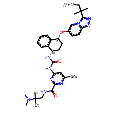 CCC(CC)(CNC(=O)c1nc(NC(=O)N[C@H]2CC[C@@H](Oc3ccc4nnc(C(C)(C)COC)n4c3)c3ccccc32)cc(C(C)(C)C)n1)N(C)C